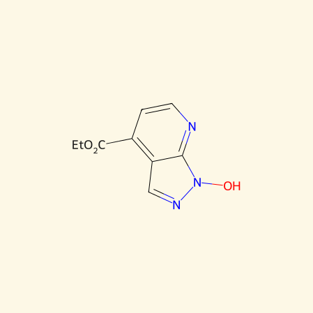 CCOC(=O)c1ccnc2c1cnn2O